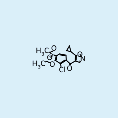 CCOc1c(S(C)(=O)=O)ccc(C(=O)c2cnoc2C2CC2)c1Cl